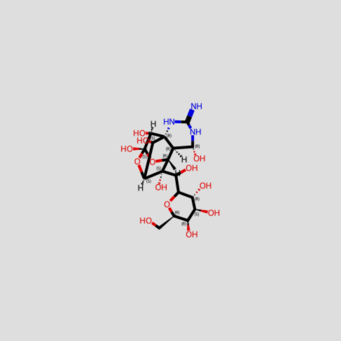 N=C1N[C@H](O)[C@H]2[C@H]3O[C@]4(O)O[C@@H](C(O)[C@@]2(N1)[C@@H]4O)[C@]3(O)C(O)C1O[C@H](CO)[C@H](O)[C@H](O)[C@H]1O